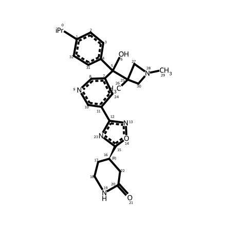 CC(C)c1ccc(C(O)(c2cncc(-c3noc([C@@H]4CCNC(=O)C4)n3)c2)C2(C)CN(C)C2)cc1